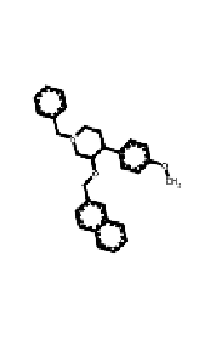 COc1ccc(C2CCN(Cc3ccccc3)CC2OCc2ccc3ccccc3c2)cc1